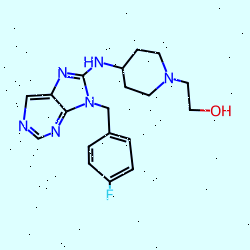 OCCN1CCC(Nc2nc3cncnc3n2Cc2ccc(F)cc2)CC1